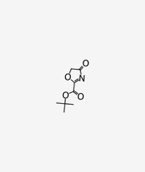 CC(C)(C)OC(=O)C1=NC(=O)CO1